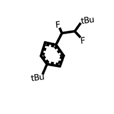 CC(C)(C)c1ccc(C(F)C(F)C(C)(C)C)cc1